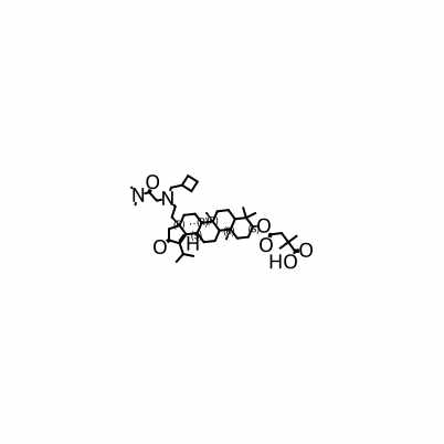 CC(C)C1=C2[C@H]3CCC4[C@@]5(C)CC[C@H](OC(=O)CC(C)(C)C(=O)O)C(C)(C)C5CC[C@@]4(C)[C@]3(C)CC[C@@]2(CCN(CC(=O)N(C)C)CC2CCC2)CC1=O